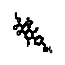 CCOC(=O)c1c2n(c3c(F)c(-c4ccc(CN)cc4)c(F)cc3c1=O)CS2